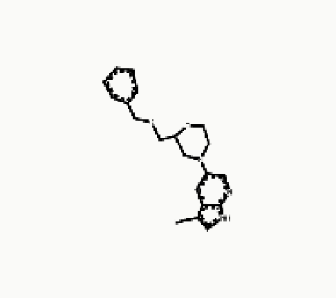 Ic1c[nH]c2ncc(N3CCOC(COCc4ccccc4)C3)cc12